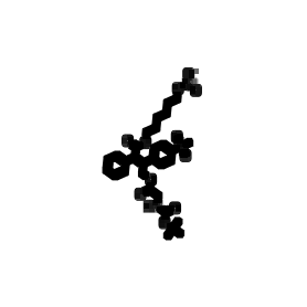 CC(C)(C)OC(=O)NCC(=O)OCC(=C(C(=O)OCCCCCCO[N+](=O)[O-])c1ccccc1)c1ccc(S(C)(=O)=O)cc1